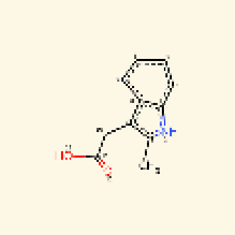 Cc1[nH]c2ccccc2c1CC(=O)O